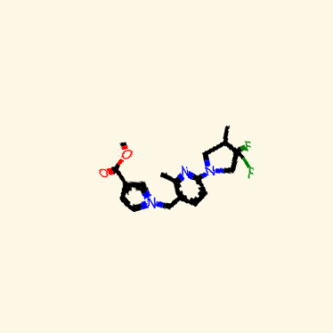 COC(=O)c1ccn(Cc2ccc(N3CC(C)C(F)(F)C3)nc2C)c1